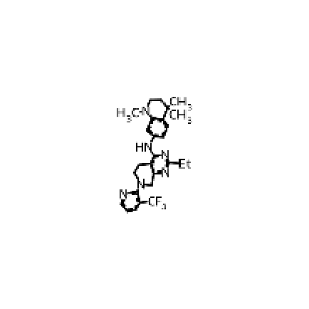 CCc1nc2c(c(Nc3ccc4c(c3)N(C)CCC4(C)C)n1)CCN(c1ncccc1C(F)(F)F)C2